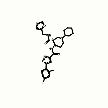 O=C(N[C@@H]1CCN(C2CCCCC2)C[C@H]1C(=O)NCc1cnco1)c1cc(-c2ccc(F)cc2F)on1